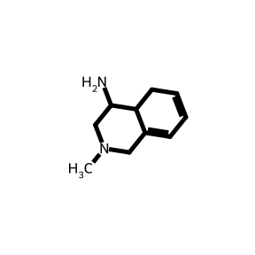 CN1CC2=CC=CCC2C(N)C1